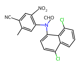 Cc1cc(N(C=O)c2ccc(Cl)c3cccc(Cl)c23)c([N+](=O)[O-])cc1C#N